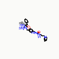 CCCCC1(CC2CCCCC2)NC(=N)N(Cc2ccc(CNC(=O)NCCCN3CCCC3)cc2)C1=O